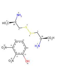 N[C@@H](CSSC[C@H](N)C(=O)O)C(=O)O.O=[N+]([O-])c1cccc(O)c1[N+](=O)[O-]